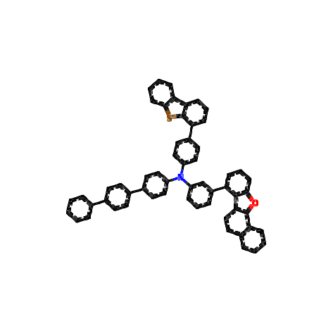 c1ccc(-c2ccc(-c3ccc(N(c4ccc(-c5cccc6c5sc5ccccc56)cc4)c4cccc(-c5cccc6oc7c8ccccc8ccc7c56)c4)cc3)cc2)cc1